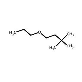 CCCO[CH]CC(C)(C)C